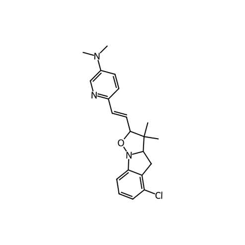 CN(C)c1ccc(C=CC2ON3c4cccc(Cl)c4CC3C2(C)C)nc1